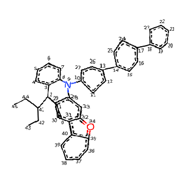 C=CC(c1ccccc1N(c1ccc(-c2ccc(-c3ccccc3)cc2)cc1)c1ccc2c(c1)oc1ccccc12)C(CC)CC